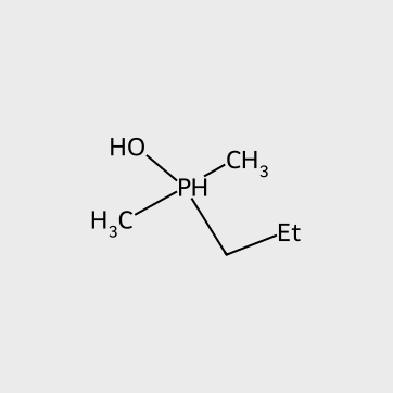 CCC[PH](C)(C)O